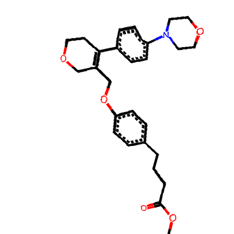 COC(=O)CCCc1ccc(OCC2=C(c3ccc(N4CCOCC4)cc3)CCOC2)cc1